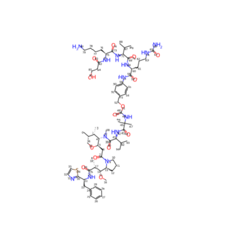 CC[C@H](C)[C@@H]([C@@H](CC(=O)N1CCC[C@H]1[C@H](OC)[C@@H](C)C(=O)N[C@@H](Cc1ccccc1)c1nccs1)OC)N(C)C(=O)[C@@H](NC(=O)C(C)(C)NC(=O)OCc1ccc(NC(=O)[C@H](CCCNC(N)=O)NC(=O)[C@@H](NC(=O)[C@H](CCCCN)NC(=O)CCO)C(C)C)cc1)C(C)C